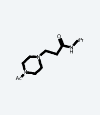 CC(=O)N1CCN(CCC(=O)NC(C)C)CC1